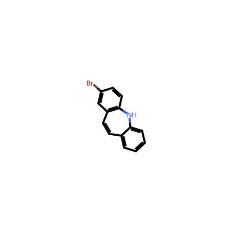 Brc1ccc2c(c1)C=Cc1ccccc1N2